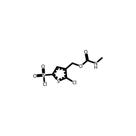 CNC(=O)OCc1cc(S(=O)(=O)Cl)sc1Cl